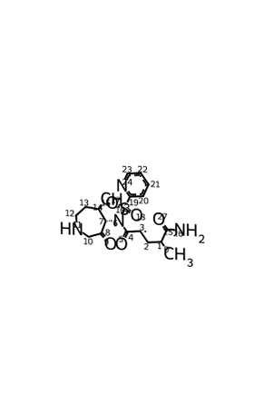 CC(C[CH]C(=O)N([C@@H]1C(=O)CNCCC1C)S(=O)(=O)c1ccccn1)C(N)=O